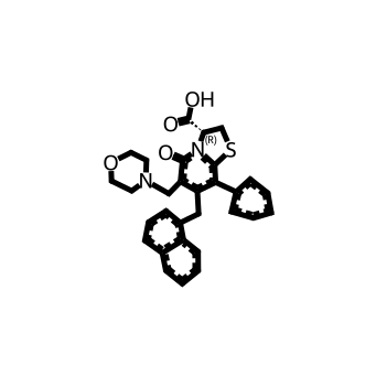 O=C(O)[C@@H]1CSc2c(-c3ccccc3)c(Cc3cccc4ccccc34)c(CN3CCOCC3)c(=O)n21